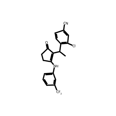 CC(C1=C(Nc2cccc(C(F)(F)F)c2)CCC1=O)c1ccc(C#N)cc1Cl